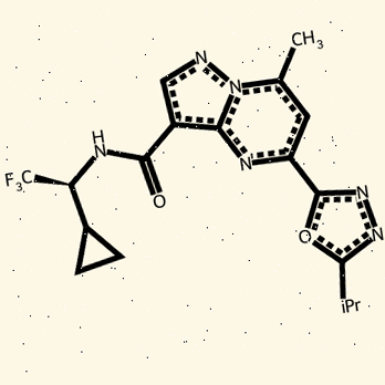 Cc1cc(-c2nnc(C(C)C)o2)nc2c(C(=O)N[C@@H](C3CC3)C(F)(F)F)cnn12